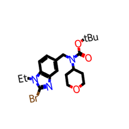 CCn1c(Br)nc2cc(CN(C(=O)OC(C)(C)C)C3CCOCC3)ccc21